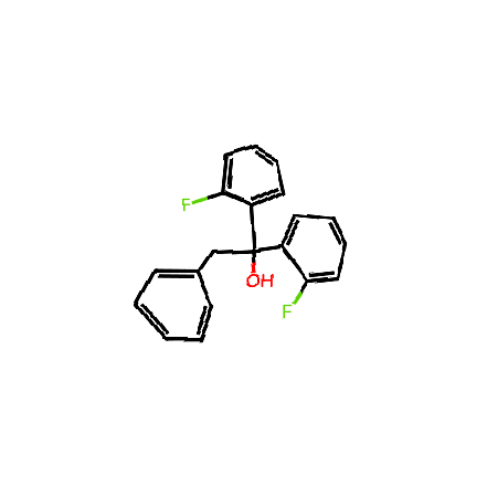 OC(Cc1ccccc1)(c1ccccc1F)c1ccccc1F